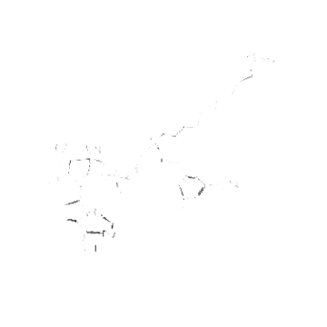 CCCCCCCCCCCCCCCCCCCC[C@H](COP(=O)(O)OC[C@@]1(C#N)OC(c2ccc3c(N)ncnn23)[C@H](O)[C@@H]1O)OCc1cc(F)cc(C#N)c1